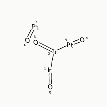 [O]=[Ir][Ir](=[O])[Pt]=[O].[O]=[Pt]